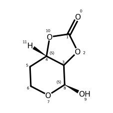 O=C1OC2[C@H](CCO[C@@H]2O)O1